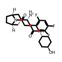 N[C@H](Cc1cc(F)c(F)cc1F)[C@@H]1C[C@H]2CC[C@@H](C1)N2C(=O)CCC(=O)N[C@H]1CC[C@H](O)CC1